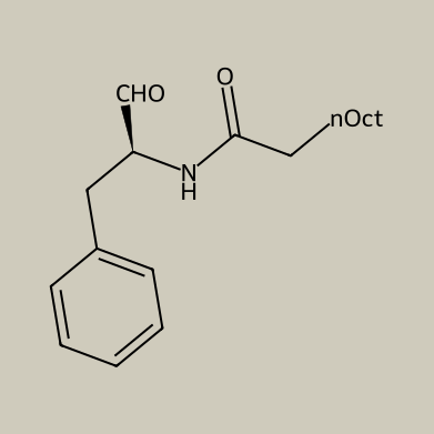 CCCCCCCCCC(=O)N[C@H](C=O)Cc1ccccc1